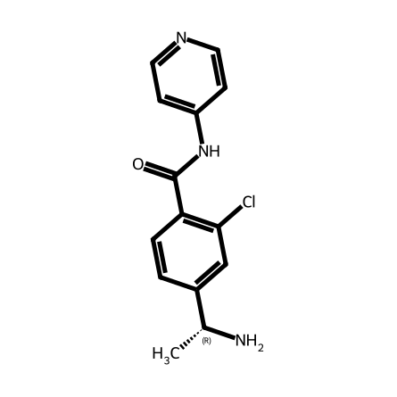 C[C@@H](N)c1ccc(C(=O)Nc2ccncc2)c(Cl)c1